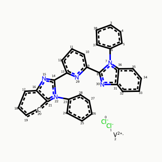 [Cl-].[Cl-].[V+2].c1ccc(-n2c(-c3cccc(-c4nc5ccccc5n4-c4ccccc4)n3)nc3ccccc32)cc1